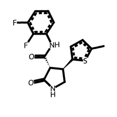 Cc1ccc([C@H]2CNC(=O)[C@@H]2C(=O)Nc2cccc(F)c2F)s1